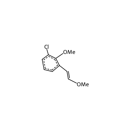 CO/C=C/c1cccc(Cl)c1OC